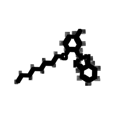 CCCCC/C=C/COc1ccc(C)cc1-n1nc2ccccc2n1